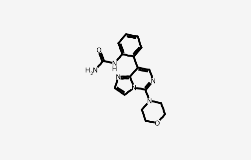 NC(=O)Nc1ccccc1-c1cnc(N2CCOCC2)n2ccnc12